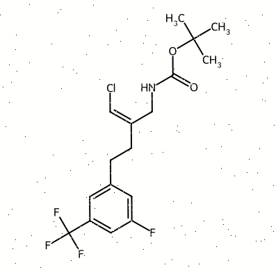 CC(C)(C)OC(=O)NCC(=CCl)CCc1cc(F)cc(C(F)(F)F)c1